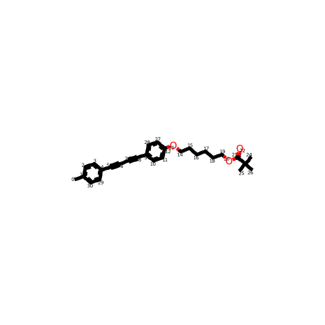 Cc1ccc(C#CC#Cc2ccc(OCCCCCCOC(=O)C(C)(C)C)cc2)cc1